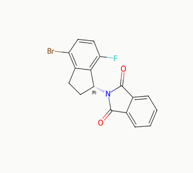 O=C1c2ccccc2C(=O)N1[C@@H]1CCc2c(Br)ccc(F)c21